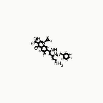 N=C(CC(CCN)=NOCc1ccccc1)c1cc2c(cc1F)c(=O)c(C(=O)O)cn2C1CC1